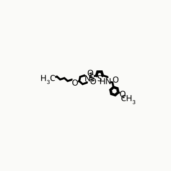 CCCCCCOC1CCN(S(=O)(=O)c2ccc(CNC(=O)c3cccc(OC)c3)s2)CC1